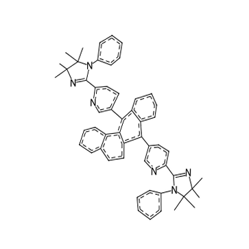 CC1(C)N=C(c2ccc(-c3c4ccccc4c(-c4ccc(C5=NC(C)(C)C(C)(C)N5c5ccccc5)nc4)c4c3ccc3ccccc34)cn2)N(c2ccccc2)C1(C)C